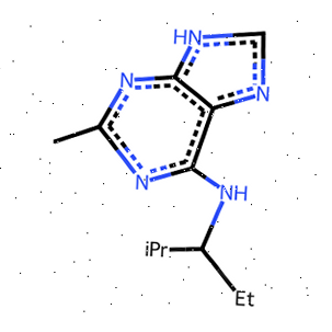 CCC(Nc1nc(C)nc2[nH]cnc12)C(C)C